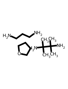 C1CCOC1.CC(C)(N)C(C)(C)N.NCCCN